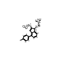 CCCCC1=Cc2c(-c3ccc(C)cc3)cccc2[CH]1[Zr+2][O][SiH](C)C.[Cl-].[Cl-]